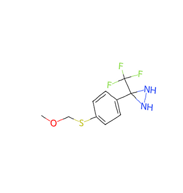 COCSc1ccc(C2(C(F)(F)F)NN2)cc1